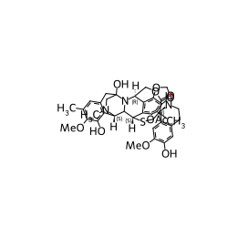 COc1cc2c(cc1O)CCN[C@]21CS[C@H]2c3c(OC(C)=O)c(C)c4c(c3[C@H](COC1=O)N1C2[C@@H]2c3c(cc(C)c(OC)c3O)CC1(O)CN2C)OCO4